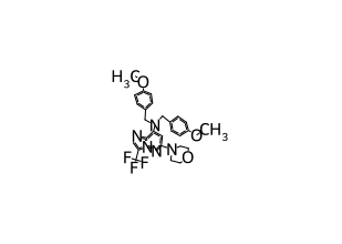 COc1ccc(CN(Cc2ccc(OC)cc2)c2cc(N3CCOCC3)nn3c(C(F)(F)F)cnc23)cc1